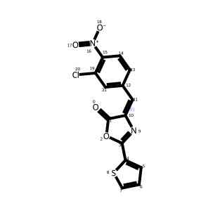 O=C1OC(c2cccs2)=N/C1=C/c1ccc([N+](=O)[O-])c(Cl)c1